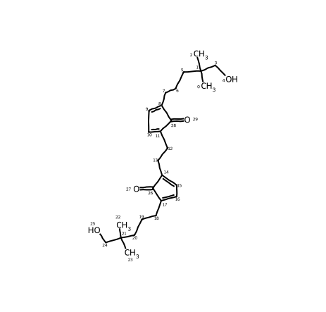 CC(C)(CO)CCCC1=CC=C(CCC2=CC=C(CCCC(C)(C)CO)C2=O)C1=O